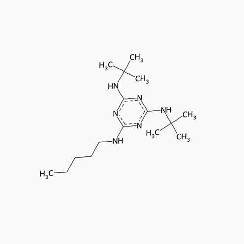 CCCCCNc1nc(NC(C)(C)C)nc(NC(C)(C)C)n1